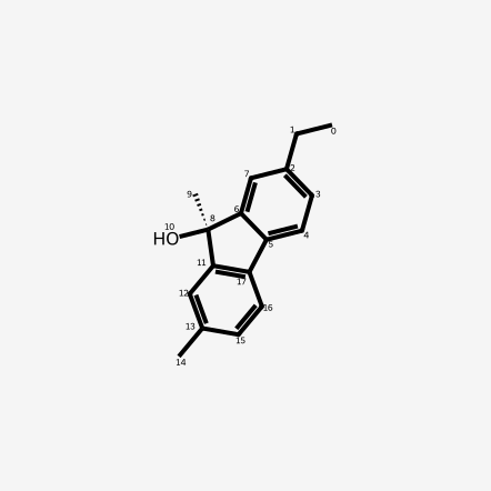 CCc1ccc2c(c1)[C@](C)(O)c1cc(C)ccc1-2